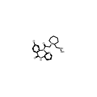 CCCNCC1CCCCCN1CC(=O)N1c2cc(Cl)ccc2C(=O)Nc2cccnc21